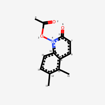 CC(=O)On1c(=O)ccc2c(C)c(C)ccc21